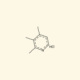 Cc1ccnc(C)c1C.Cl